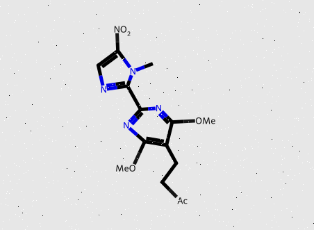 COc1nc(-c2ncc([N+](=O)[O-])n2C)nc(OC)c1CCC(C)=O